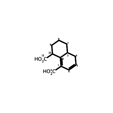 O=C(O)C1=C2C(CC=C1)CCCC2C(=O)O